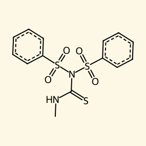 CNC(=S)N(S(=O)(=O)c1ccccc1)S(=O)(=O)c1ccccc1